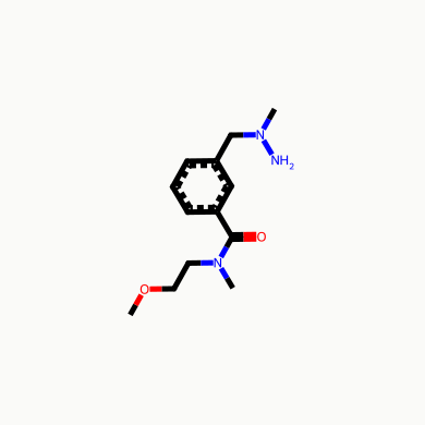 COCCN(C)C(=O)c1cccc(CN(C)N)c1